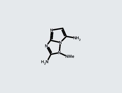 CNn1c(N)nc2ncc(N)n21